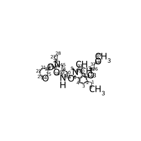 CCc1ccc(C(=O)N(C[C@@H]2CNC[C@H]2CN(C(=O)O[C@@H]2CCCOC2)C2CC2)C(C)C)cc1OCCCOC